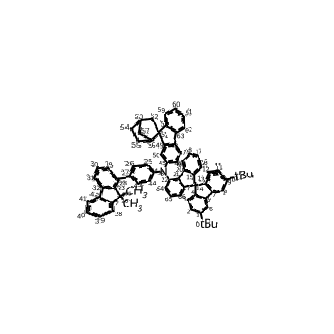 CC(C)(C)c1ccc2c(c1)-c1cc(C(C)(C)C)ccc1C21c2ccccc2-c2c(N(c3ccc(-c4cccc5c4C(C)(C)c4ccccc4-5)cc3)c3ccc4c(c3)C3(CC5CCC3C5)c3ccccc3-4)cccc21